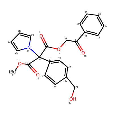 CC(C)(C)OC(=O)C(C(=O)OCC(=O)c1ccccc1)(c1ccc(CO)cc1)n1cccc1